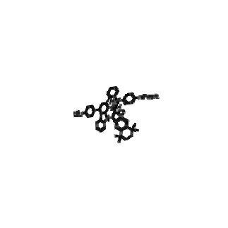 CCCCCc1ccc(Nc2ccccc2-c2cc(-c3ccc(C(C)(C)C)cc3)c3c4ccccc4n4c3c2Bc2oc3cc5c(cc3c2-4)C(C)(C)CCC5(C)C)cc1